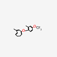 CC1=C/C(OCc2ccc(OC(F)(F)F)cc2C)=C\CC\C=C\1